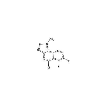 Cn1nnc2nc(Cl)c3c(F)c(F)ccc3c21